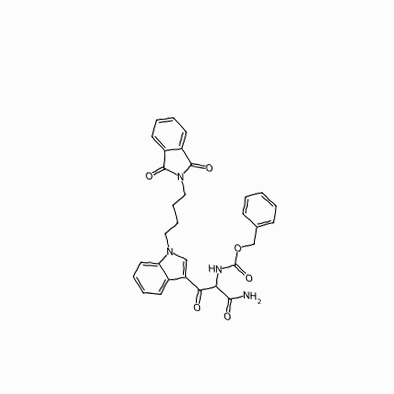 NC(=O)C(NC(=O)OCc1ccccc1)C(=O)c1cn(CCCCN2C(=O)c3ccccc3C2=O)c2ccccc12